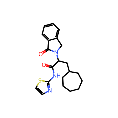 O=C(Nc1nccs1)C(CC1CCCCCC1)N1Cc2ccccc2C1=O